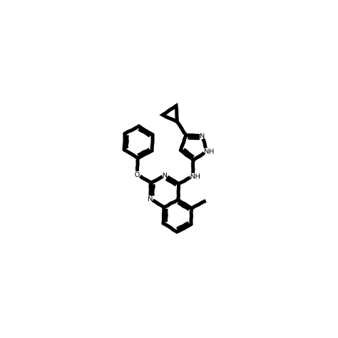 Cc1cccc2nc(Oc3ccccc3)nc(Nc3cc(C4CC4)n[nH]3)c12